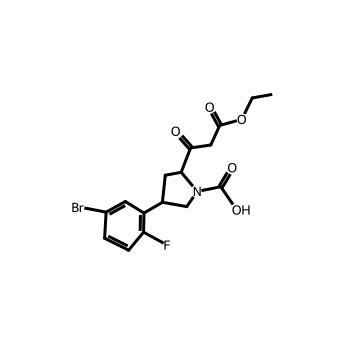 CCOC(=O)CC(=O)C1CC(c2cc(Br)ccc2F)CN1C(=O)O